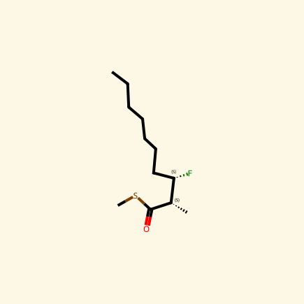 CCCCCCC[C@H](F)[C@H](C)C(=O)SC